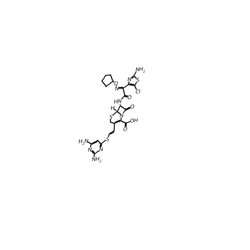 Nc1cc(SC=CC2=C(C(=O)O)N3C(=O)[C@@H](NC(=O)C(=NOC4CCCC4)c4nc(N)sc4Cl)[C@H]3SC2)nc(N)n1